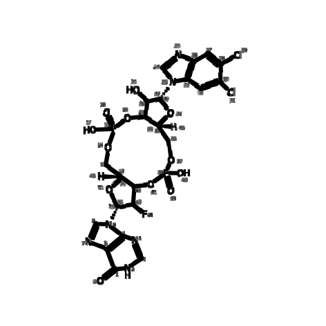 O=c1[nH]cnc2c1ncn2[C@@H]1O[C@@H]2COP(=O)(O)OC3C(O)[C@H](n4cnc5cc(Cl)c(Cl)cc54)O[C@@H]3COP(=O)(O)OC2C1F